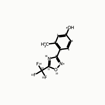 Cc1cc(O)ccc1-c1noc(C(F)(F)F)n1